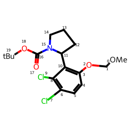 COCOc1ccc(Cl)c(Cl)c1C1CCCN1C(=O)OC(C)(C)C